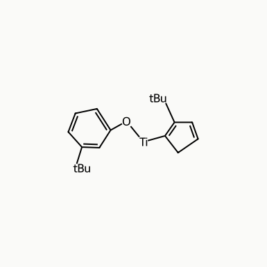 CC(C)(C)C1=[C]([Ti][O]c2cccc(C(C)(C)C)c2)CC=C1